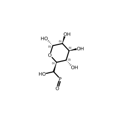 O=PC(O)[C@H]1O[C@H](O)[C@@H](O)[C@@H](O)[C@@H]1O